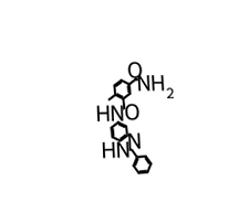 Cc1ccc(C(N)=O)cc1C(=O)Nc1ccc2[nH]c(-c3ccccc3)nc2c1